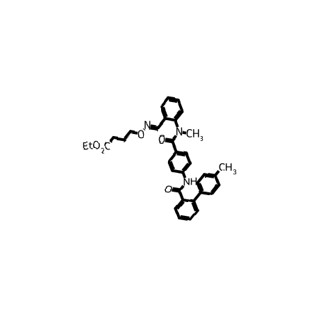 CCOC(=O)CCCON=Cc1ccccc1N(C)C(=O)c1ccc(NC(=O)c2ccccc2-c2ccc(C)cc2)cc1